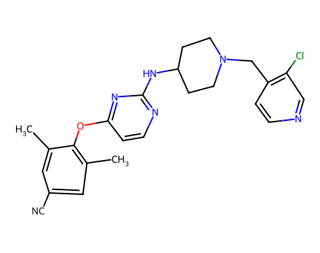 Cc1cc(C#N)cc(C)c1Oc1ccnc(NC2CCN(Cc3ccncc3Cl)CC2)n1